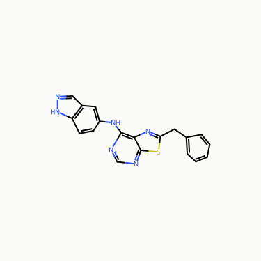 c1ccc(Cc2nc3c(Nc4ccc5[nH]ncc5c4)ncnc3s2)cc1